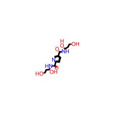 O=C(NC(O)CCO)c1ccc(C(=O)NC(O)CCO)nc1